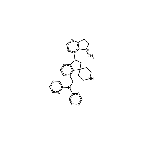 C[C@@H]1CCc2ncnc(N3CC4(CCNCC4)c4c(CN(c5ccccn5)c5ccccn5)cccc43)c21